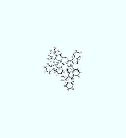 Cc1cc2c(cc1N1c3cc4c(sc5ccccc54)c4c3B(c3ccc5c(c31)C(C)(C)c1ccccc1-5)n1c3c(c5cccc-4c51)-c1ccccc1C3(C)C)C(C)(C)CCC2(C)C